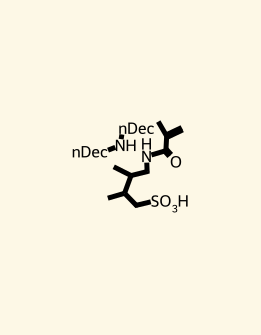 C=C(C)C(=O)NCC(C)C(C)CS(=O)(=O)O.CCCCCCCCCCNCCCCCCCCCC